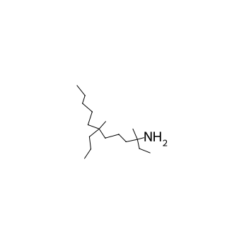 CCCCCC(C)(CCC)CCCC(C)(N)CC